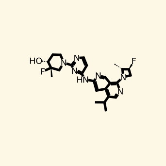 CC(C)c1cnc(N2C[C@H](F)[C@H]2C)c2cnc(Nc3ccnc(N4CC[C@@H](O)[C@@](C)(F)C4)n3)cc12